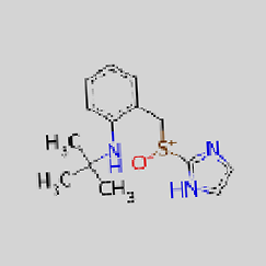 CC(C)(C)Nc1ccccc1C[S+]([O-])c1ncc[nH]1